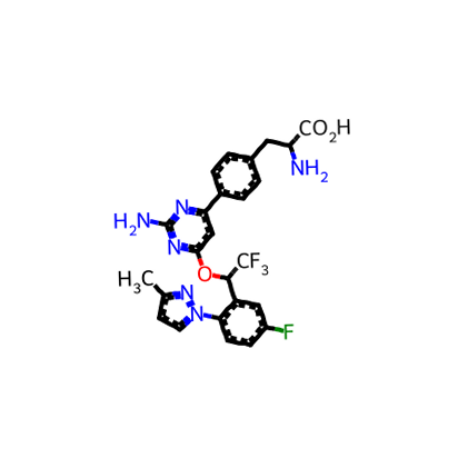 Cc1ccn(-c2ccc(F)cc2C(Oc2cc(-c3ccc(CC(N)C(=O)O)cc3)nc(N)n2)C(F)(F)F)n1